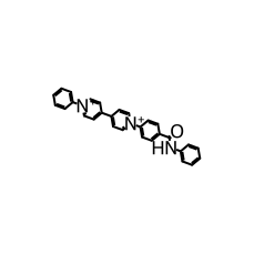 O=C(Nc1ccccc1)c1ccc(-[n+]2ccc(-c3cc[n+](-c4ccccc4)cc3)cc2)cc1